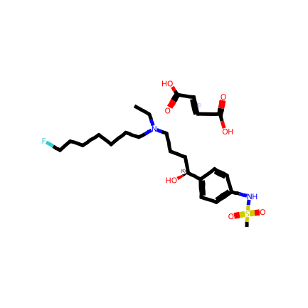 CCN(CCCCCCCF)CCC[C@H](O)c1ccc(NS(C)(=O)=O)cc1.O=C(O)/C=C/C(=O)O